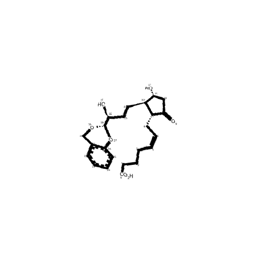 O=C(O)CCC/C=C\C[C@H]1C(=O)C[C@@H](O)[C@@H]1CC[C@H](O)[C@H]1OCc2ccccc2O1